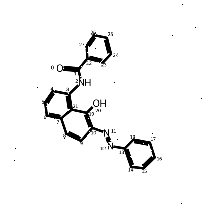 O=C(Nc1cccc2ccc(N=Nc3ccccc3)c(O)c12)c1ccccc1